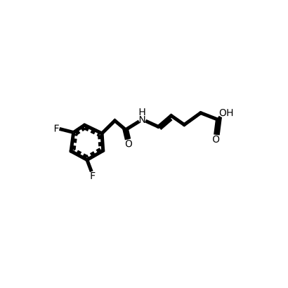 O=C(O)CCC=CNC(=O)Cc1cc(F)cc(F)c1